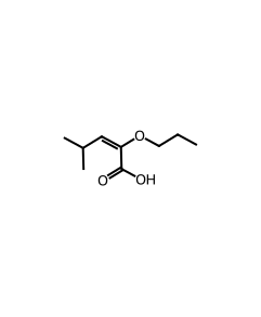 CCCO/C(=C/C(C)C)C(=O)O